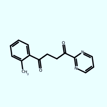 Cc1ccccc1C(=O)CCC(=O)c1ncccn1